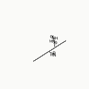 CCCCCCCCCCCCCCCCCCC(CCCCCCC(CCCCCCCCCCCC)CCCC(=O)NCCNC(C)=O)CCCC(=O)NC